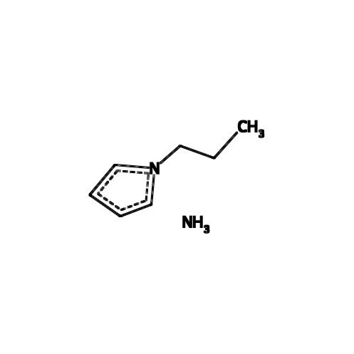 CCCn1cccc1.N